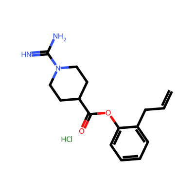 C=CCc1ccccc1OC(=O)C1CCN(C(=N)N)CC1.Cl